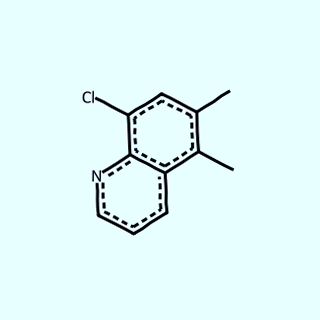 Cc1cc(Cl)c2ncccc2c1C